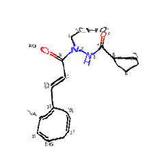 O=[C]CN(NC(=O)C1CC1)C(=O)C=Cc1ccccc1